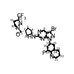 O=C([C@@H]1CC[C@@H](Nc2ncc3c(Br)nn(-c4cc(F)c5ncccc5c4)c3n2)C1)n1ccc(C(F)(F)F)n1